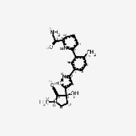 Cc1ccc(-c2cc([C@]3(O)CCN(C)C3=O)on2)cc1-c1cccc(C(N)=O)n1